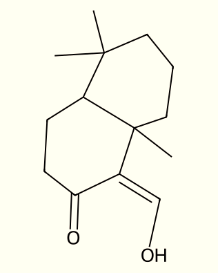 CC1(C)CCCC2(C)C(=CO)C(=O)CCC12